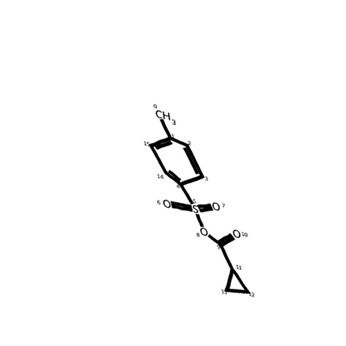 Cc1ccc(S(=O)(=O)OC(=O)C2CC2)cc1